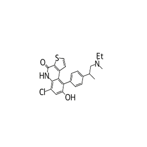 CCN(C)CC(C)c1ccc(-c2c(O)cc(Cl)c3[nH]c(=O)c4sccc4c23)cc1